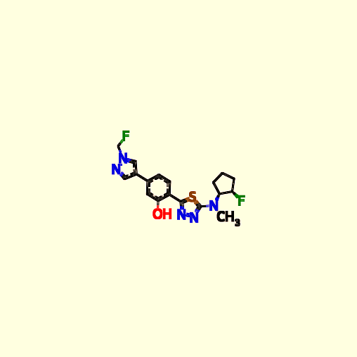 CN(c1nnc(-c2ccc(-c3cnn(CF)c3)cc2O)s1)[C@H]1CCC[C@H]1F